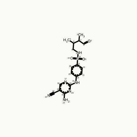 CC(C=O)C(C)CNS(=O)(=O)c1ccc(Nc2ncc(C#N)c(N)n2)cc1